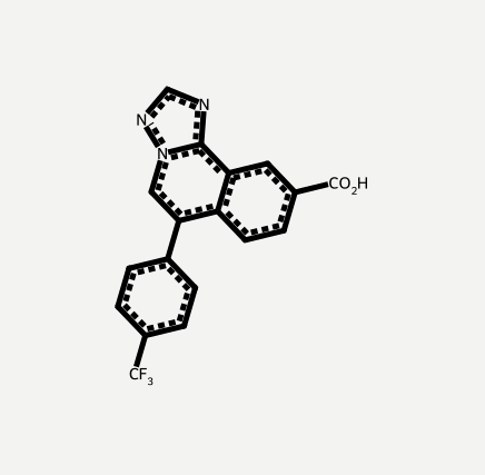 O=C(O)c1ccc2c(-c3ccc(C(F)(F)F)cc3)cn3ncnc3c2c1